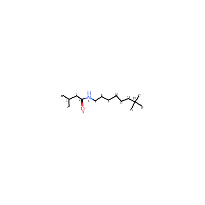 CC(C)CC(=O)NCCCCCCC(C)(C)C